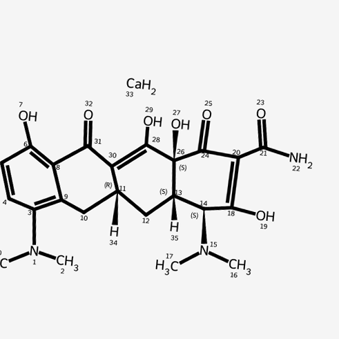 CN(C)c1ccc(O)c2c1C[C@H]1C[C@H]3[C@H](N(C)C)C(O)=C(C(N)=O)C(=O)[C@@]3(O)C(O)=C1C2=O.[CaH2]